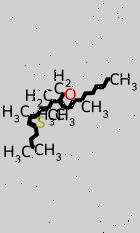 C=C1OC(C(C)CC/C=C/CC)=CC(C)=C1C(=C)/C(C)=C/c1sc(CCC(C)C)cc1C